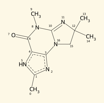 Cc1nc2c([nH]1)C(=O)N(C)C1=NC(C)(C)CN12